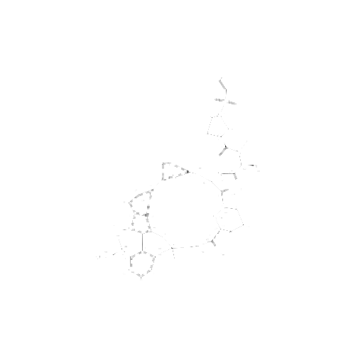 C=CS(=O)(=O)N1CC[C@H](C(=O)N(C)[C@H](C(=O)N[C@H]2Cc3nc(cs3)-c3ccc4c(c3)c(c(-c3cccnc3[C@H](C)OC)n4CC)CC(C)(C)COC(=O)[C@@H]3CCCN(N3)C2=O)C(C)C)C1